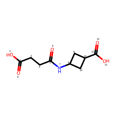 O=C(O)CCC(=O)NC1CC(C(=O)O)C1